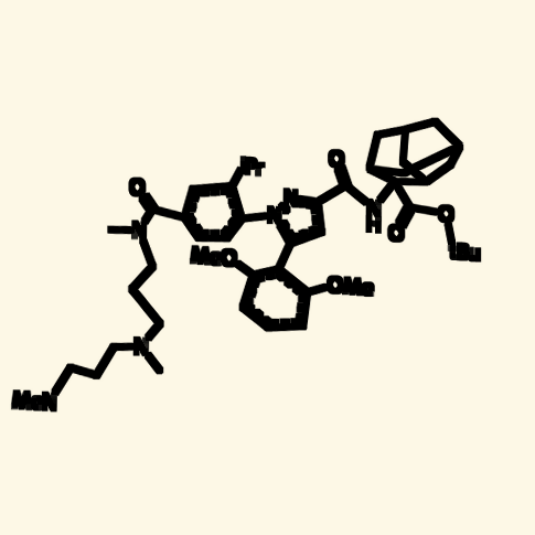 CNCCCN(C)CCCN(C)C(=O)c1ccc(-n2nc(C(=O)NC3(C(=O)OC(C)(C)C)C4CC5CC(C4)CC3C5)cc2-c2c(OC)cccc2OC)c(C(C)C)c1